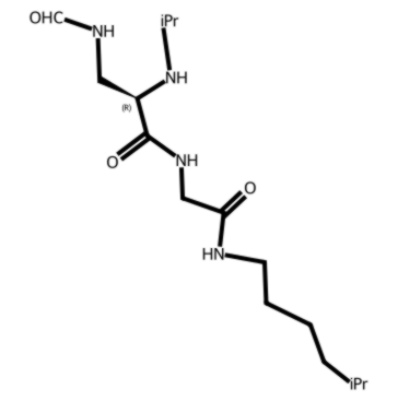 CC(C)CCCCNC(=O)CNC(=O)[C@@H](CNC=O)NC(C)C